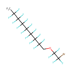 FC(F)(F)C(F)(F)C(F)(F)C(F)(F)C(F)(F)C(F)(F)C(F)(F)C(F)(F)COC(F)(F)C(F)(F)Br